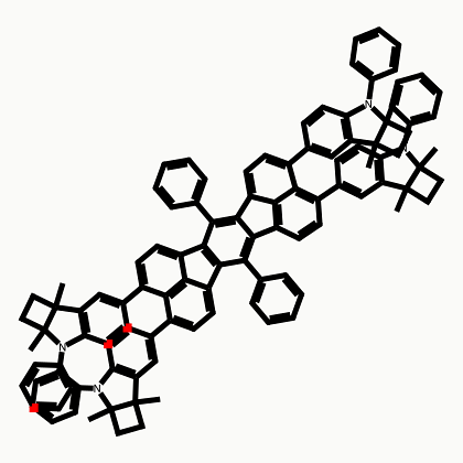 CC12CCC1(C)N(c1ccccc1)c1ccc(-c3ccc4c5c(-c6ccccc6)c6c7ccc(-c8ccc9c(c8)C8(C)CCC8(C)N9c8ccccc8)c8c(-c9ccc%10c(c9)C9(C)CCC9(C)N%10c9ccccc9)ccc(c6c(-c6ccccc6)c5c5ccc(-c6ccc9c(c6)C6(C)CCC6(C)N9c6ccccc6)c3c45)c87)cc12